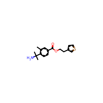 Cc1cc(C(=O)OCCc2ccsc2)ccc1C(C)(C)N